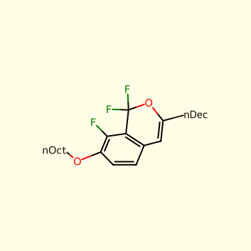 CCCCCCCCCCC1=Cc2ccc(OCCCCCCCC)c(F)c2C(F)(F)O1